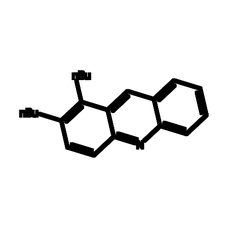 CCCCc1ccc2nc3ccccc3cc2c1CCCC